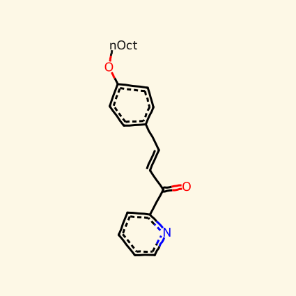 CCCCCCCCOc1ccc(C=CC(=O)c2ccccn2)cc1